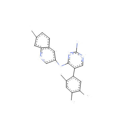 COc1cc(C)c(-c2cnc(N)nc2Nc2cnc3cc(C(F)(F)F)ccc3c2)cc1OC